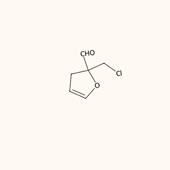 O=CC1(CCl)CC=CO1